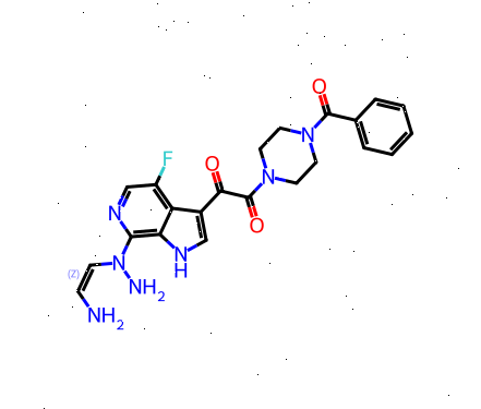 N/C=C\N(N)c1ncc(F)c2c(C(=O)C(=O)N3CCN(C(=O)c4ccccc4)CC3)c[nH]c12